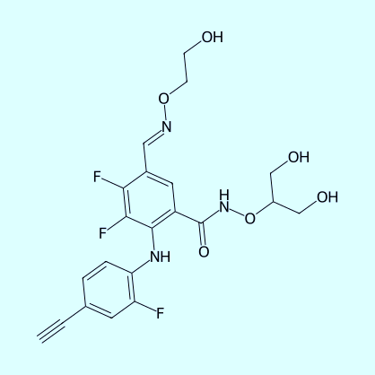 C#Cc1ccc(Nc2c(C(=O)NOC(CO)CO)cc(C=NOCCO)c(F)c2F)c(F)c1